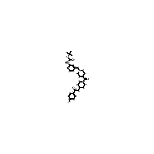 CC(C)(C)OC(=O)Nc1cc(CN2CCC(C(=O)N3CCC(CC(=O)c4ccc(Cl)cc4)CC3)CC2)ccn1